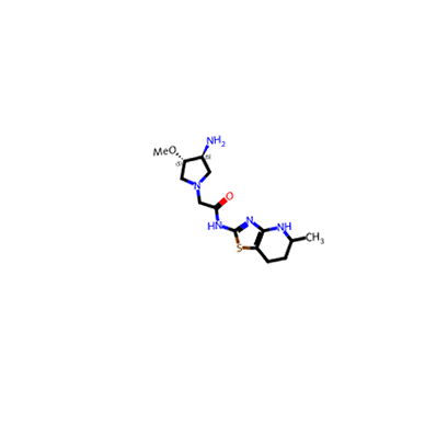 CO[C@H]1CN(CC(=O)Nc2nc3c(s2)CCC(C)N3)C[C@@H]1N